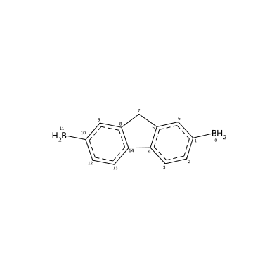 Bc1ccc2c(c1)Cc1cc(B)ccc1-2